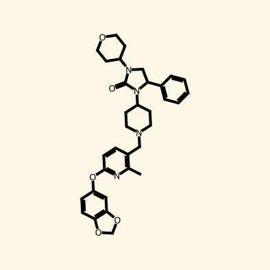 Cc1nc(Oc2ccc3c(c2)OCO3)ccc1CN1CCC(N2C(=O)N(C3CCOCC3)CC2c2ccccc2)CC1